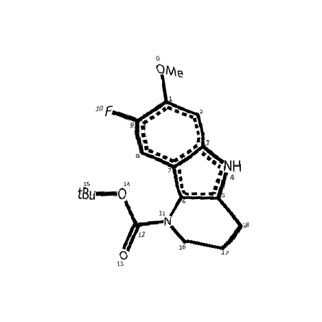 COc1cc2[nH]c3c(c2cc1F)N(C(=O)OC(C)(C)C)CCC3